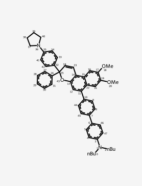 CCCCN(CCCC)c1ccc(-c2ccc(-c3cc4c(c5cc(OC)c(OC)cc35)C=CC(c3ccccc3)(c3ccc(N5CCCC5)cc3)O4)cc2)cc1